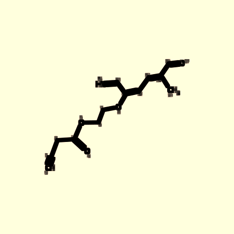 C#CCC(=O)OCCO/C(C=N)=C/C=C(\C)C=O